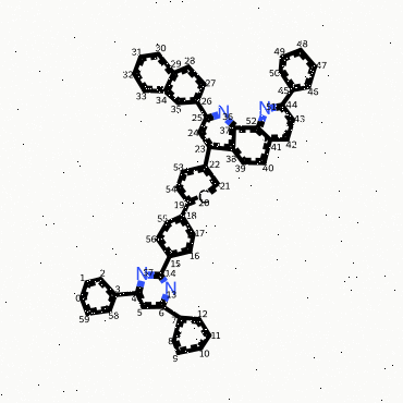 c1ccc(-c2cc(-c3ccccc3)nc(-c3ccc(-c4ccc(-c5cc(-c6ccc7ccccc7c6)nc6c5ccc5ccc(-c7ccccc7)nc56)cc4)cc3)n2)cc1